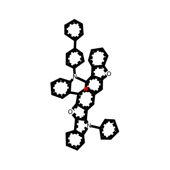 c1ccc(-c2ccc(N(c3ccccc3-c3cccc4c3oc3c5ccccc5n(-c5ccccc5)c43)c3cccc4oc5ccccc5c34)cc2)cc1